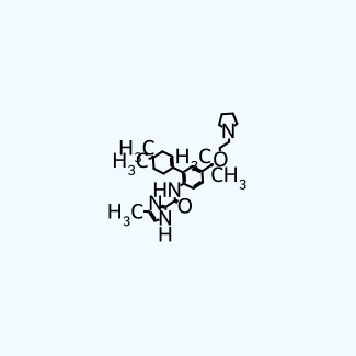 Cc1c[nH]c(C(=O)Nc2ccc(C(C)(C)OCCN3CCCC3)cc2C2=CCC(C)(C)CC2)n1